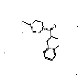 CCN1CCN(C(=O)C(C)Cc2ccccc2C)CC1